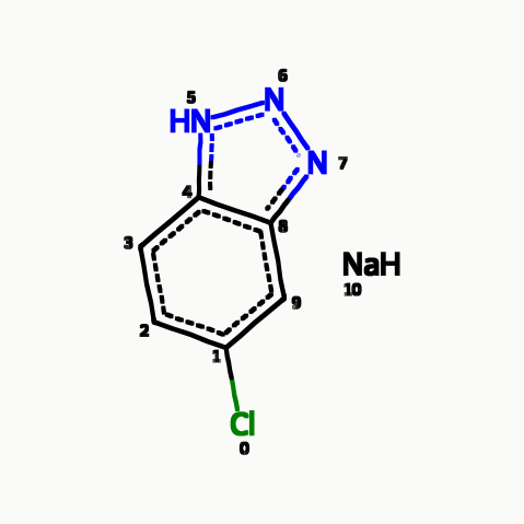 Clc1ccc2[nH]nnc2c1.[NaH]